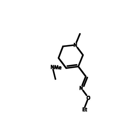 CCON=CC1=CCCN(C)C1.CNC